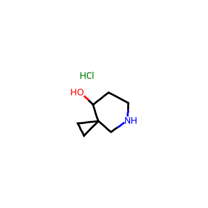 Cl.OC1CCNCC12CC2